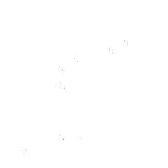 COC1CCN(C(=O)c2ccc(-c3cc4c(-c5cccc(NC(=O)N6Cc7ccccc7C6)c5C)ncnc4[nH]3)cc2)CC1